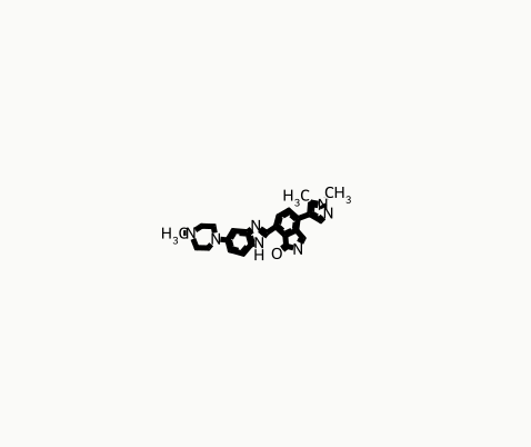 Cc1c(-c2ccc(-c3nc4cc(N5CCN(C)CC5)ccc4[nH]3)c3c2C=NC3=O)cnn1C